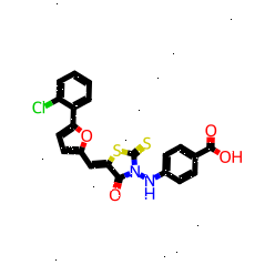 O=C(O)c1ccc(NN2C(=O)C(=Cc3ccc(-c4ccccc4Cl)o3)SC2=S)cc1